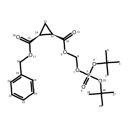 CC(C)(C)OP(=O)(OCOC(=O)[C@@H]1C[C@@H]1C(=O)OCc1ccccc1)OC(C)(C)C